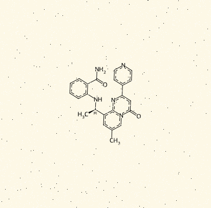 Cc1cc([C@@H](C)Nc2ccccc2C(N)=O)c2nc(-c3ccncc3)cc(=O)n2c1